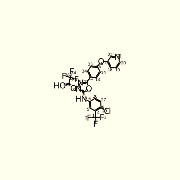 FC(F)(F)c1cc(Nc2nnc(-c3ccc(Oc4cccnc4)cc3)o2)ccc1Cl.O=C(O)C(F)(F)F